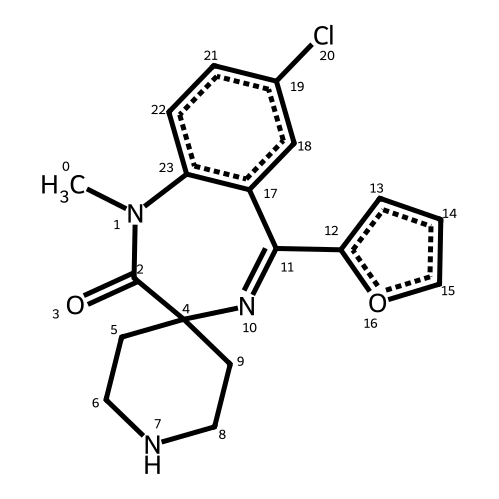 CN1C(=O)C2(CCNCC2)N=C(c2ccco2)c2cc(Cl)ccc21